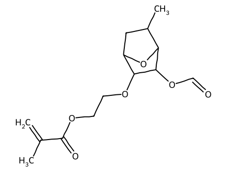 C=C(C)C(=O)OCCOC1C2CC(C)C(O2)C1OC=O